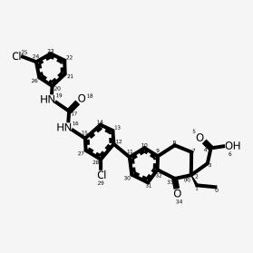 CC[C@]1(CC(=O)O)CCc2cc(-c3ccc(NC(=O)Nc4cccc(Cl)c4)cc3Cl)ccc2C1=O